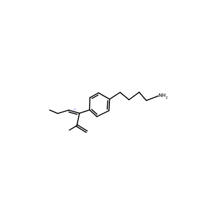 C=C(C)/C(=C\CC)c1ccc(CCCCN)cc1